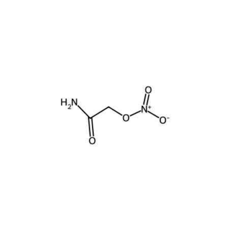 NC(=O)CO[N+](=O)[O-]